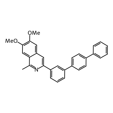 COc1cc2cc(-c3cccc(-c4ccc(-c5ccccc5)cc4)c3)nc(C)c2cc1OC